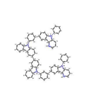 c1ccc(-n2c3ccc(-c4cccc(-n5c6ccccc6c6cc(-c7ccc8c(c7)c7ccccc7n8-c7cccc(-c8ccc9c(c8)c8ncccc8n9-c8ccccc8)c7)ccc65)c4)cc3c3ncccc32)cc1